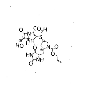 C=CCOC(=O)N1C[C@@H](SC2=C(C(=O)O)N3C(=O)[C@H]([C@@H](C)O)[C@H]3[C@H]2C)C[C@H]1CC1NC(=O)NC1=O